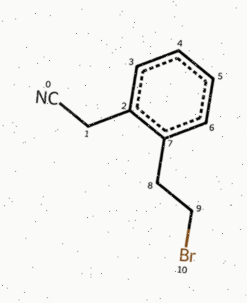 N#CCc1ccccc1CCBr